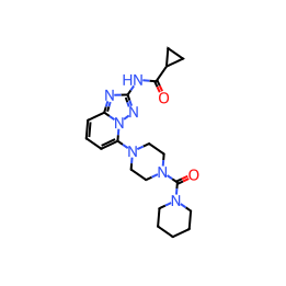 O=C(Nc1nc2cccc(N3CCN(C(=O)N4CCCCC4)CC3)n2n1)C1CC1